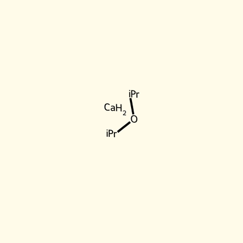 CC(C)OC(C)C.[CaH2]